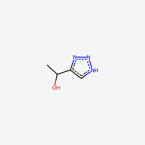 CC(O)c1c[nH]nn1